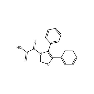 O=C(O)C(=O)N1COC(c2ccccc2)=C1c1ccccc1